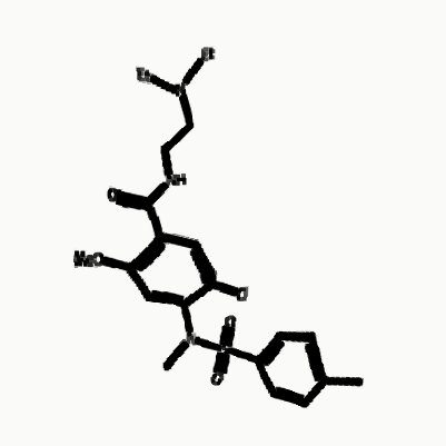 CCN(CC)CCNC(=O)c1cc(Cl)c(N(C)S(=O)(=O)c2ccc(C)cc2)cc1OC